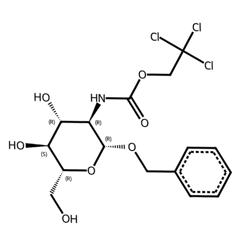 O=C(N[C@H]1[C@H](OCc2ccccc2)O[C@H](CO)[C@@H](O)[C@@H]1O)OCC(Cl)(Cl)Cl